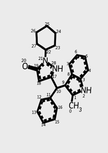 Cc1[nH]c2ccccc2c1C(c1ccccc1)c1cc(=O)n(C2CCCCC2)[nH]1